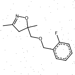 CC1=NOC(C)(COCc2ccccc2F)C1